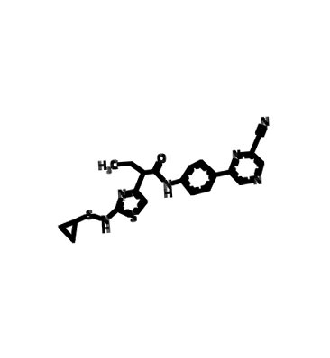 CCC(C(=O)Nc1ccc(-c2cncc(C#N)n2)cc1)c1csc(NSC2CC2)n1